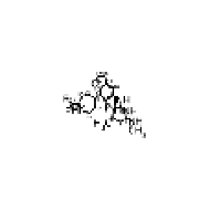 CNC1CC(C)NC(Nc2cc3c(c(C4=CCN[C@@H](C(F)F)CC4)c2F)OCC3)N1